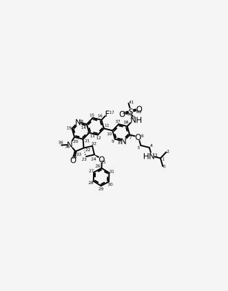 CC(C)NCCOc1ncc(-c2cc3c(cc2F)ncc2c3[C@]3(C[C@H](Oc4ccccc4)C3)C(=O)N2C)cc1NS(C)(=O)=O